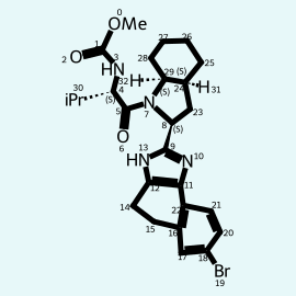 COC(=O)N[C@H](C(=O)N1[C@H](c2nc3c([nH]2)CCc2cc(Br)ccc2-3)C[C@@H]2CCCC[C@@H]21)C(C)C